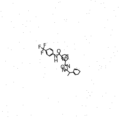 CC(C1=CCCC=C1)c1noc(C2CC3CCC2N(C(=O)Nc2ccc(C(F)(F)F)cc2)C3)n1